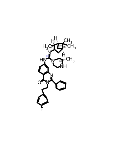 C[C@@H]1C(/N=C(/Nc2ccc3c(=O)n(CCc4ccc(F)cc4)c(-c4ccccc4)nc3c2)N2CCN[C@@H](C)C2)C[C@H]2C[C@@H]1C2(C)C